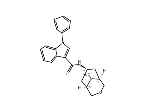 CN1[C@@H]2COC[C@H]1C[C@@H](NC(=O)c1cn(-c3cccnc3)c3ccccc13)C2